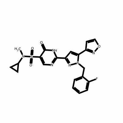 CN(C1CC1)S(=O)(=O)c1cnc(-c2cc(-c3ccon3)n(Cc3ccccc3F)n2)[nH]c1=O